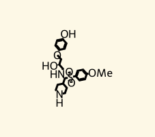 COc1ccc(S(=O)(=O)C(NC[C@H](O)COc2ccc(O)cc2)C2CCNCC2)cc1